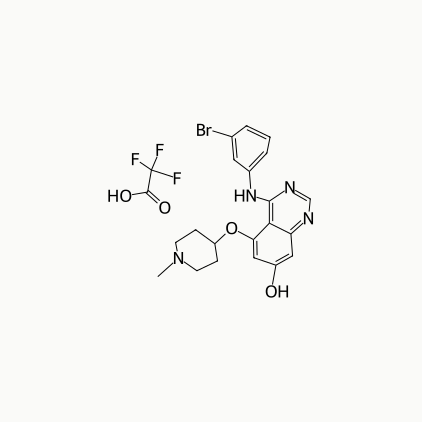 CN1CCC(Oc2cc(O)cc3ncnc(Nc4cccc(Br)c4)c23)CC1.O=C(O)C(F)(F)F